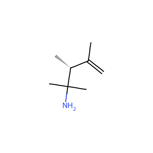 C=C(C)[C@@H](C)C(C)(C)N